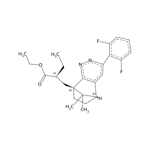 CCOC(=O)[C@@H](CC)C[C@@]12CC[C@@H](c3cc(-c4c(F)cccc4F)nnc31)C2(C)C